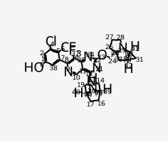 Oc1cc(Cl)c(C(F)(F)F)c(-c2ncc3c(N4C[C@H]5CC[C@@H](C4)N5)nc(OC[C@]45CCCN4[C@@H]4C[C@@H]4C5)nc3c2F)c1